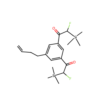 C=CCCc1cc(C(=O)C(F)[Si](C)(C)C)cc(C(=O)C(F)[Si](C)(C)C)c1